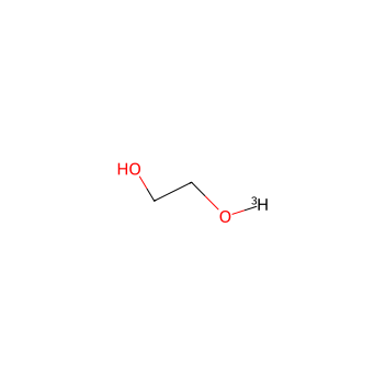 [3H]OCCO